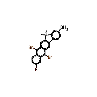 Bc1ccc2c(c1)C(C)(C)c1cc3c(Br)c4ccc(Br)cc4c(Br)c3cc1-2